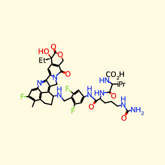 CC[C@@]1(O)C(=O)OCc2c1cc1n(c2=O)Cc2c-1nc1cc(F)c(C)c3c1c2[C@@H](NCc1c(F)cc(NC(=O)C(CCCNC(N)=O)NC(=O)C(NC(=O)O)C(C)C)cc1F)CC3